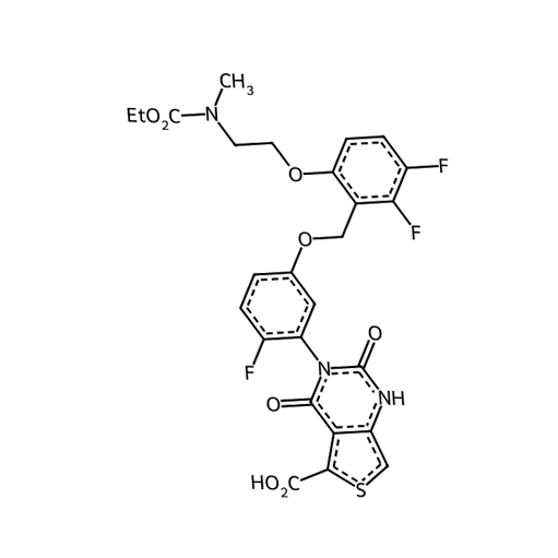 CCOC(=O)N(C)CCOc1ccc(F)c(F)c1COc1ccc(F)c(-n2c(=O)[nH]c3csc(C(=O)O)c3c2=O)c1